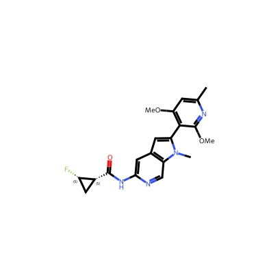 COc1cc(C)nc(OC)c1-c1cc2cc(NC(=O)[C@@H]3C[C@@H]3F)ncc2n1C